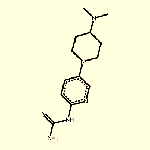 CN(C)C1CCN(c2ccc(NC(N)=S)nc2)CC1